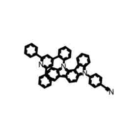 N#Cc1ccc(-n2c3ccccc3c3c2ccc2c4ccccc4n(-c4ccccc4-c4cc(-c5ccccc5)nc(-c5ccccc5)c4)c23)cc1